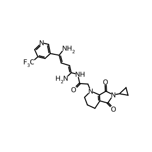 N/C(=C\C=C(/N)NC(=O)CN1CCCC2=C1C(=O)N(C1CC1)C2=O)c1cncc(C(F)(F)F)c1